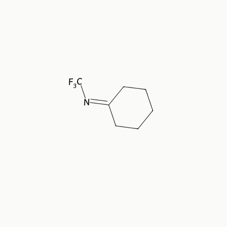 FC(F)(F)N=C1CCCCC1